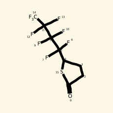 O=C1CCC(C(F)(F)C(F)(F)C(F)(F)C(F)(F)F)S1